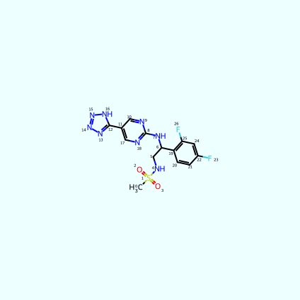 CS(=O)(=O)NCC(Nc1ncc(-c2nnn[nH]2)cn1)c1ccc(F)cc1F